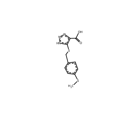 CSc1ccc(CSc2[nH]nnc2C(=O)O)cc1